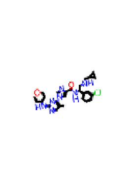 Cc1cnc(NC2CCOCC2)nc1-n1cnc(C(=O)NC(CNCC2CC2)c2cccc(Cl)c2)c1